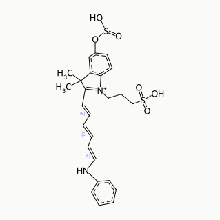 CC1(C)C(/C=C/C=C/C=C/Nc2ccccc2)=[N+](CCCS(=O)(=O)O)c2ccc(OS(=O)O)cc21